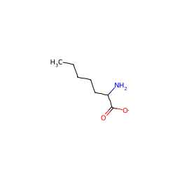 CCCCCC(N)C([O])=O